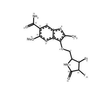 CCC1C(COc2c(C)sc3cc(C(N)=O)c(OC)nc23)NC(=O)C1F